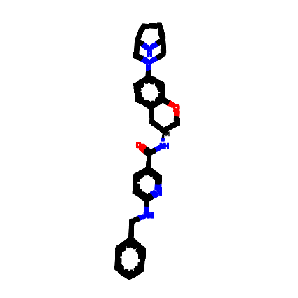 O=C(N[C@H]1COc2cc(N3CC4CCC(C3)N4)ccc2C1)c1ccc(NCc2ccccc2)nc1